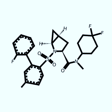 Cc1ccc(S(=O)(=O)N2[C@H](C(=O)N(C)C3CCC(F)(F)CC3)C[C@@H]3C[C@@H]32)c(-c2ccccc2F)c1